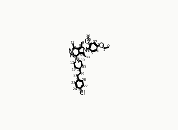 CCOc1ccc(-n2c(C)c3c(C)nnc(N4CCC(CCc5ccc(Cl)cc5)CC4)c3c2C)c(OC)c1